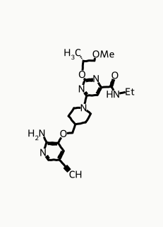 C#Cc1cnc(N)c(OCC2CCN(c3cc(C(=O)NCC)nc(O[C@H](C)COC)n3)CC2)c1